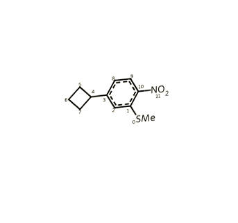 CSc1cc(C2CCC2)ccc1[N+](=O)[O-]